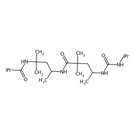 CC(C)NC(=O)NC(C)CC(C)(C)C(=O)NC(C)CC(C)(C)NC(=O)C(C)C